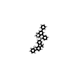 CC1(C)c2cc(N3c4ccccc4-c4cc(-c5ccccc5)cc5ncnc3c45)ccc2-c2c1ccc1c2oc2ccccc21